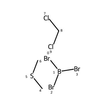 BrB(Br)Br.CSC.ClCCl